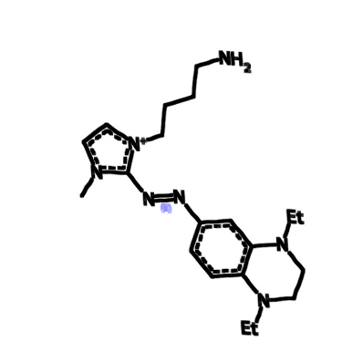 CCN1CCN(CC)c2cc(/N=N/c3n(C)cc[n+]3CCCCN)ccc21